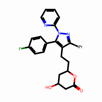 CC(C)c1nn(-c2ccccn2)c(-c2ccc(F)cc2)c1CCC1CC(O)CC(=O)O1